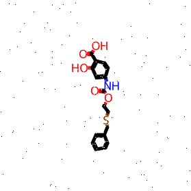 O=C(Nc1ccc(C(=O)O)c(O)c1)OCCSCc1ccccc1